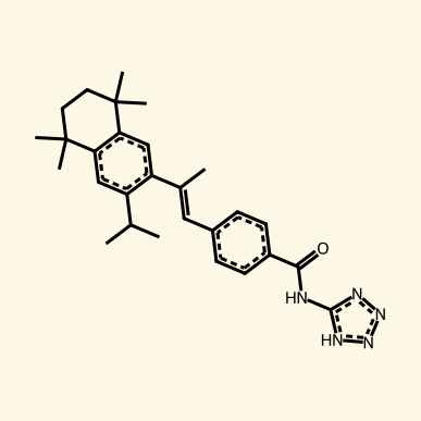 CC(=Cc1ccc(C(=O)Nc2nnn[nH]2)cc1)c1cc2c(cc1C(C)C)C(C)(C)CCC2(C)C